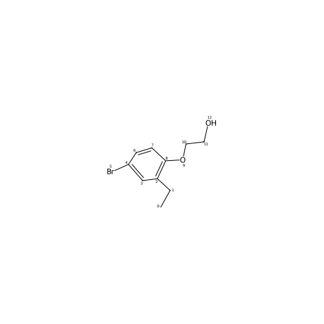 CCc1cc(Br)ccc1OCCO